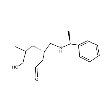 CC(CO)C[C@@H](CC=O)CN[C@@H](C)c1ccccc1